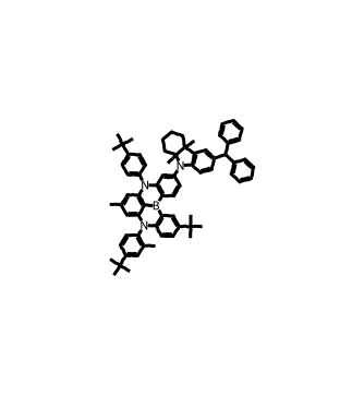 Cc1cc2c3c(c1)N(c1ccc(C(C)(C)C)cc1C)c1ccc(C(C)(C)C)cc1B3c1ccc(N3c4ccc(C(c5ccccc5)c5ccccc5)cc4C4(C)CCCCC34C)cc1N2c1ccc(C(C)(C)C)cc1